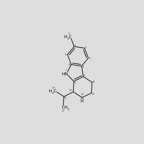 Cc1ccc2c3c([nH]c2c1)C(C(C)C)NCC3